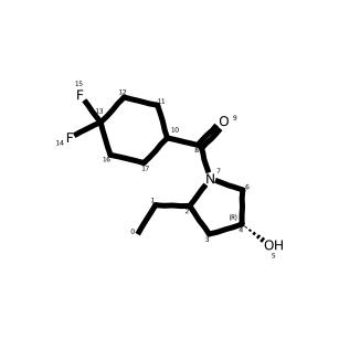 CCC1C[C@@H](O)CN1C(=O)C1CCC(F)(F)CC1